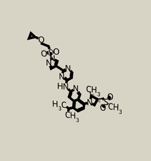 CC(C)c1ccc(N2C[C@H](CS(C)(=O)=O)[C@H]2C)c2cnc(Nc3ccnc(-c4cnn(S(=O)(=O)CCOC5CC5)c4)n3)cc12